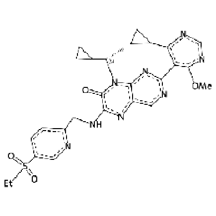 CCS(=O)(=O)c1ccc(CNc2nc3cnc(-c4c(OC)ncnc4C4CC4)nc3n([C@@H](C)C3CC3)c2=O)nc1